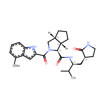 COc1cccc2[nH]c(C(=O)N3C[C@@H]4CCC[C@@H]4[C@H]3C(=O)N[C@@H](C[C@@H]3CCNC3=O)C(C)C#N)cc12